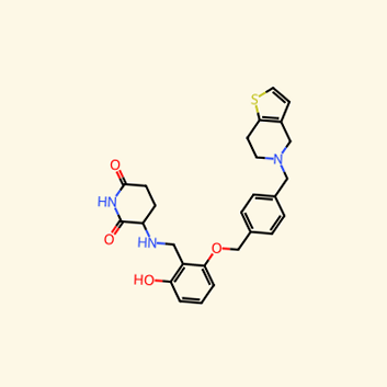 O=C1CCC(NCc2c(O)cccc2OCc2ccc(CN3CCc4sccc4C3)cc2)C(=O)N1